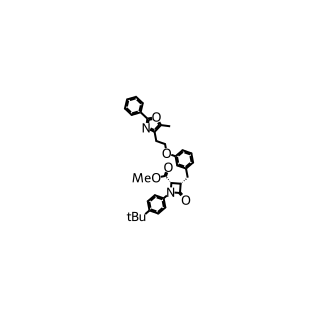 COC(=O)[C@@H]1[C@H](Cc2cccc(OCCc3nc(-c4ccccc4)oc3C)c2)C(=O)N1c1ccc(C(C)(C)C)cc1